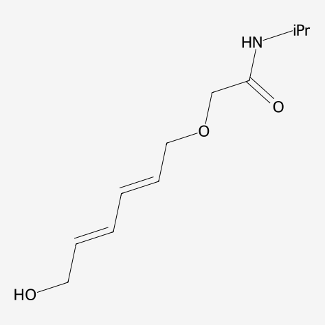 CC(C)NC(=O)COC/C=C/C=C/CO